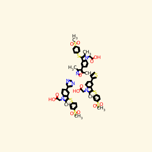 Cc1c(Sc2ccc(S(C)(=O)=O)cc2)c2cc(-c3ccsc3)ccc2n1CC(=O)O.Cc1c(Sc2ccc(S(C)(=O)=O)cc2)c2cc(-c3cncnc3)ccc2n1CC(=O)O.Cc1noc(C)c1-c1ccc2c(c1)c(Sc1ccc(S(C)(=O)=O)cc1)c(C)n2CC(=O)O